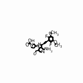 COc1cc(OC)c(F)c(C#Cc2nn(C3CCN(C(=O)O)C3)c3c(C=O)cnc(N)c23)c1F